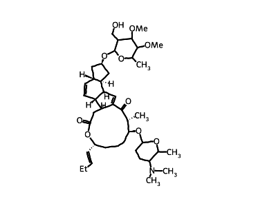 CC/C=C/[C@H]1CCC[C@H](OC2CCC(N(C)C)C(C)O2)[C@@H](C)C(=O)C2=C[C@@H]3[C@@H](C=C[C@@H]4C[C@@H](OC5OC(C)C(OC)C(OC)C5CO)C[C@@H]34)[C@@H]2CC(=O)O1